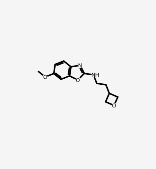 COc1ccc2nc(NCCC3COC3)oc2c1